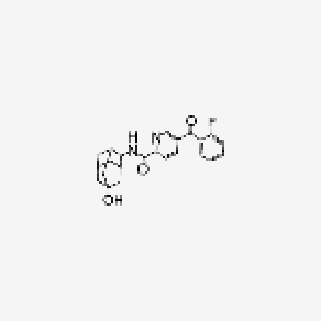 O=C(NC1C2CC3CC1CC(O)(C3)C2)c1ccc(C(=O)c2ccccc2F)cn1